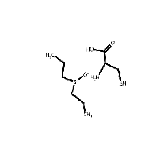 CCC[S+]([O-])CCC.NC(CS)C(=O)O